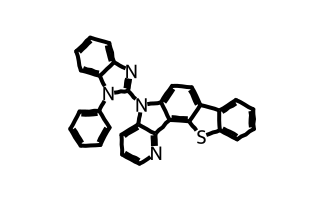 c1ccc(-n2c(-n3c4cccnc4c4c5sc6ccccc6c5ccc43)nc3ccccc32)cc1